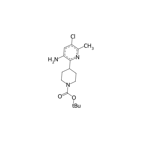 Cc1nc(C2CCN(C(=O)OC(C)(C)C)CC2)c(N)cc1Cl